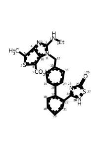 CCNc1nc2c(C)sc(C(=O)O)c2n1Cc1ccc(-c2ccccc2-c2nc(=O)s[nH]2)cc1